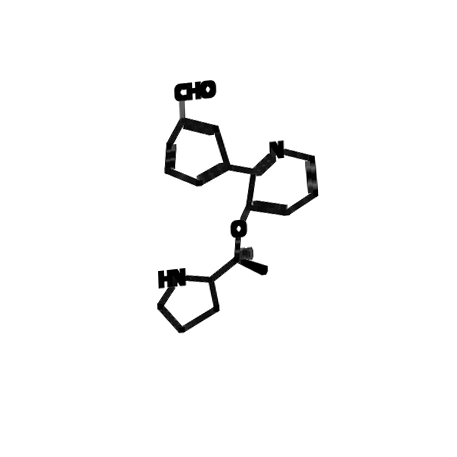 C[C@H](Oc1cccnc1-c1cccc(C=O)c1)C1CCCN1